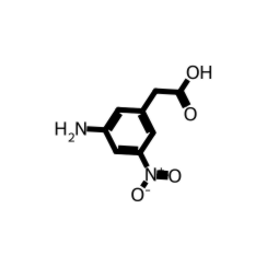 Nc1cc(CC(=O)O)cc([N+](=O)[O-])c1